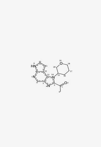 CC(=O)c1nc2cnc3[nH]ccc3c2n1C1CCCOC1